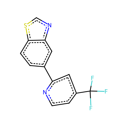 FC(F)(F)c1ccnc(-c2ccc3scnc3c2)c1